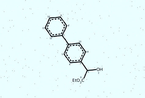 CCOC(=O)C(O)c1ccc(-c2ccccc2)cc1